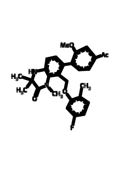 COc1cc(C(C)=O)ccc1-c1ccc2c(c1COc1cc(F)ccc1C)N(C)C(=O)C(C)(C)N2